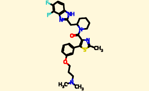 Cc1nc(C(=O)N2CCCCC2Cc2nc3c(F)c(F)ccc3[nH]2)c(-c2cccc(OCCCN(C)C)c2)s1